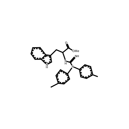 COC(=O)C(Cc1c[nH]c2ccccc12)NC(=N)N(c1ccc(C)cc1)c1ccc(C)cc1